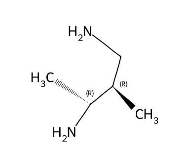 C[C@H](CN)[C@@H](C)N